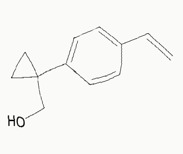 C=Cc1ccc(C2(CO)CC2)cc1